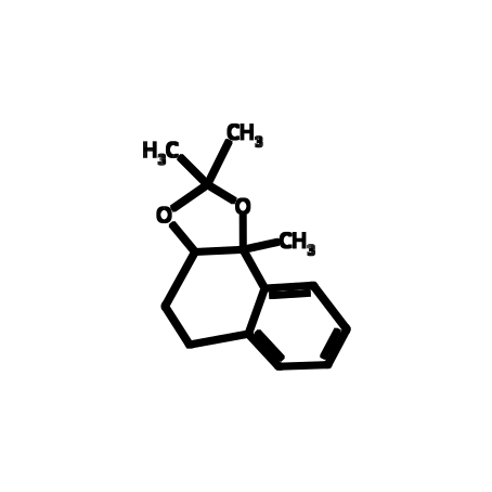 CC1(C)OC2CCc3ccccc3C2(C)O1